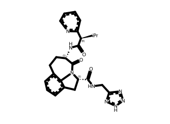 CC(C)[C@@H](C(=O)N[C@H]1CCc2cccc3c2N(C1=O)[C@H](C(=O)NCc1nn[nH]n1)C3)c1ccccn1